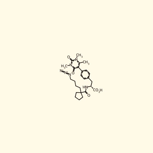 Cc1c(-c2ccc(C[C@H](NC(=O)C3(CCCCN=[N+]=[N-])CCCC3)C(=O)O)cc2)c(=O)n(C)c(=O)n1C